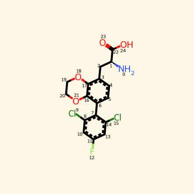 N[C@@H](Cc1ccc(-c2c(Cl)cc(F)cc2Cl)c2c1OCCO2)C(=O)O